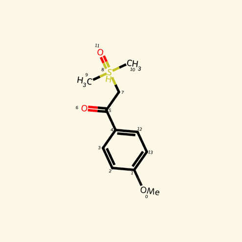 COc1ccc(C(=O)C[SH](C)(C)=O)cc1